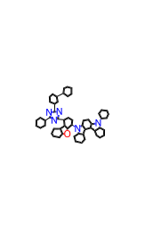 c1ccc(-c2cccc(-c3nc(-c4ccccc4)nc(-c4ccc(-n5c6ccccc6c6c7c8ccccc8n(-c8ccccc8)c7ccc65)c5oc6ccccc6c45)n3)c2)cc1